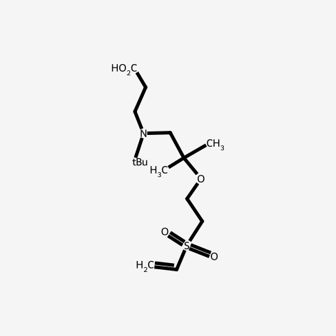 C=CS(=O)(=O)CCOC(C)(C)CN(CCC(=O)O)C(C)(C)C